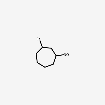 CCC1CCCCC(N=O)C1